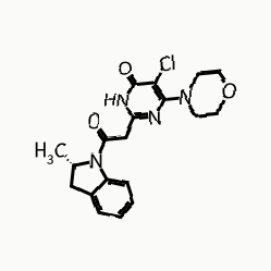 C[C@H]1Cc2ccccc2N1C(=O)Cc1nc(N2CCOCC2)c(Cl)c(=O)[nH]1